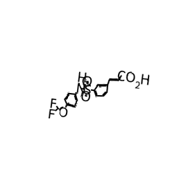 O=C(O)C=Cc1cccc(S(=O)(=O)Nc2ccc(OC(F)F)cc2)c1